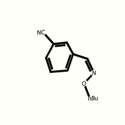 CCCCO/N=[C]\c1cccc(C#N)c1